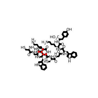 NCCCC[C@H](NC(=O)[C@H](Cc1c[nH]c2ccccc12)NC(=O)CNC(=O)[C@H](CS)NC(=O)[C@H](Cc1c[nH]cn1)NC(=O)[C@H](CCCCN)NC(=O)[C@H](Cc1c[nH]c2ccccc12)NC(=O)CNC(=O)[C@@H](N)CS)C(=O)N[C@@H](Cc1ccc(O)cc1)C(=O)O